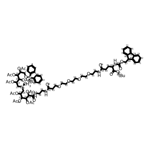 CC(=O)OC(CO[Si](c1ccccc1)(c1ccccc1)C(C)(C)C)C(OC(C)=O)C(OC(C)=O)C(CN(C)CC(OC(C)=O)C(OC(C)=O)C(OC(C)=O)C(OC(C)=O)C(=O)NCCNC(=O)CCOCCOCCOCCOCCNC(=O)CCC(NC(=O)OCC1c2ccccc2-c2ccccc21)C(=O)OC(C)(C)C)OC(C)=O